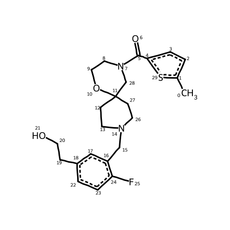 Cc1ccc(C(=O)N2CCOC3(CCN(Cc4cc(CCO)ccc4F)CC3)C2)s1